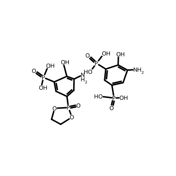 Nc1cc(P(=O)(O)O)cc(P(=O)(O)O)c1O.Nc1cc(P2(=O)OCCO2)cc(P(=O)(O)O)c1O